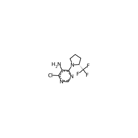 Nc1c(Cl)ncnc1N1CCC[C@@H]1C(F)(F)F